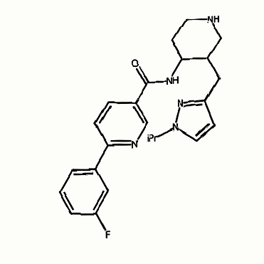 CC(C)n1ccc(CC2CNCCC2NC(=O)c2ccc(-c3cccc(F)c3)nc2)n1